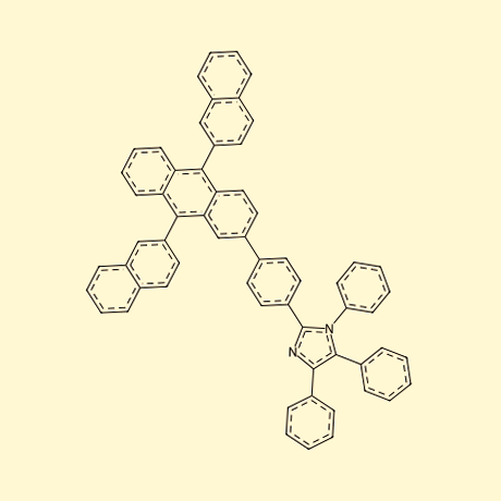 c1ccc(-c2nc(-c3ccc(-c4ccc5c(-c6ccc7ccccc7c6)c6ccccc6c(-c6ccc7ccccc7c6)c5c4)cc3)n(-c3ccccc3)c2-c2ccccc2)cc1